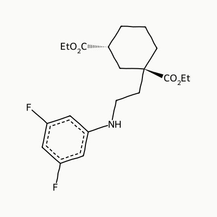 CCOC(=O)[C@@H]1CCC[C@@](CCNc2cc(F)cc(F)c2)(C(=O)OCC)C1